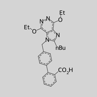 CCCCc1nc2c(OCC)nnc(OCC)c2n1Cc1ccc(-c2ccccc2C(=O)O)cc1